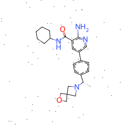 C[C@@H](c1ccc(-c2cnc(N)c(C(=O)NC3CCCCC3)c2)cc1)N1CC2(COC2)C1